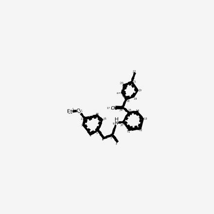 CCOc1ccc(CC(C)Nc2ccccc2C(=O)c2ccc(C)cc2)cc1